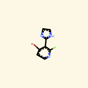 Fc1nccc(Br)c1-c1ncc[nH]1